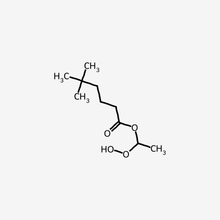 CC(OO)OC(=O)CCCC(C)(C)C